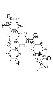 CC(Oc1ccc(F)cn1)[C@H]1CCN(C(=O)C2CCN(C(=O)C3(C)CC3)CC2)C[C@@H]1c1ccc(F)c(F)c1